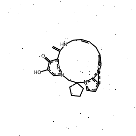 C=C1NC/C=C\Cc2cnc3c(ccn3C3(CCCC3)Cn3cc(O)c(=O)c1n3)c2